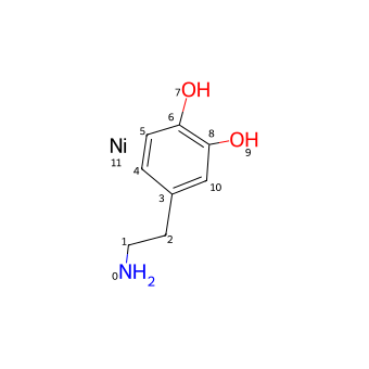 NCCc1ccc(O)c(O)c1.[Ni]